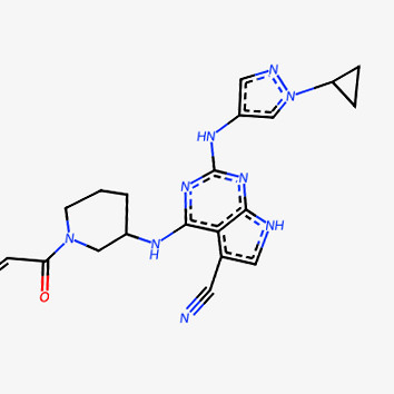 C=CC(=O)N1CCCC(Nc2nc(Nc3cnn(C4CC4)c3)nc3[nH]cc(C#N)c23)C1